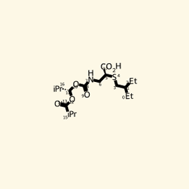 CCC(CC)CS[C@@H](CNC(=O)O[C@H](OC(=O)C(C)C)C(C)C)C(=O)O